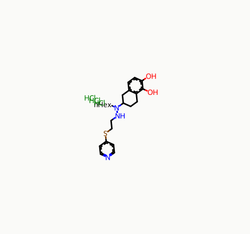 CCCCCCN(NCCSc1ccncc1)C1CCc2c(ccc(O)c2O)C1.Cl.Cl.Cl